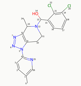 Cc1ccc(-n2nnc3c2CCN(C(O)c2cccc(Cl)c2Cl)C3C)nc1